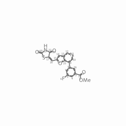 COC(=O)c1cc(F)cc(-c2cncc3cc(/C=C4/SC(=O)NC4=O)oc23)c1